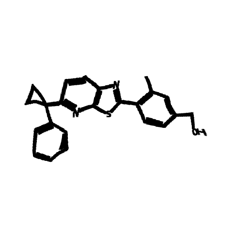 Cc1cc(CO)ccc1-c1nc2ccc(C3(c4ccccc4)CC3)nc2s1